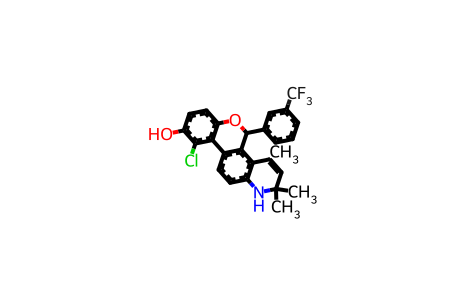 CC1=CC(C)(C)Nc2ccc3c(c21)C(c1cccc(C(F)(F)F)c1)Oc1ccc(O)c(Cl)c1-3